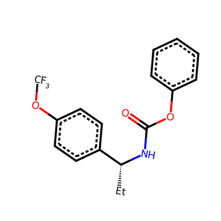 CC[C@@H](NC(=O)Oc1ccccc1)c1ccc(OC(F)(F)F)cc1